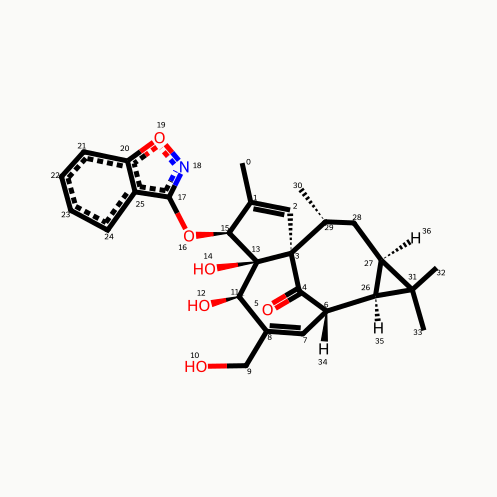 CC1=C[C@]23C(=O)[C@@H](C=C(CO)[C@@H](O)[C@]2(O)[C@H]1Oc1noc2ccccc12)[C@H]1[C@@H](C[C@H]3C)C1(C)C